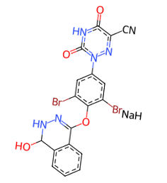 N#Cc1nn(-c2cc(Br)c(OC3=NNC(O)c4ccccc43)c(Br)c2)c(=O)[nH]c1=O.[NaH]